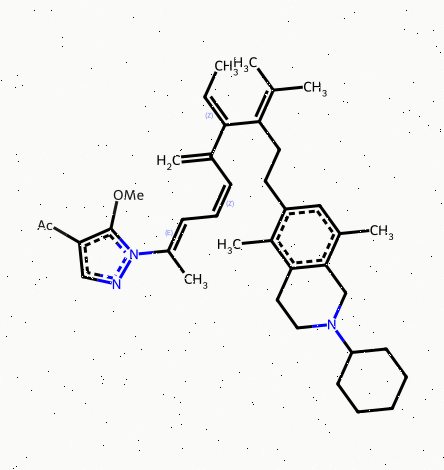 C=C(/C=C\C=C(/C)n1ncc(C(C)=O)c1OC)/C(=C/C)C(CCc1cc(C)c2c(c1C)CCN(C1CCCCC1)C2)=C(C)C